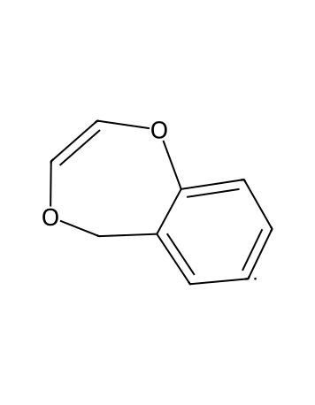 [c]1ccc2c(c1)COC=CO2